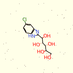 OC[C@@H](O)[C@@H](O)[C@H](O)[C@H](O)c1nc2cc(Cl)ccc2[nH]1